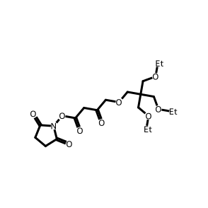 CCOCC(COCC)(COCC)COCC(=O)CC(=O)ON1C(=O)CCC1=O